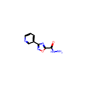 NNC(=O)c1nc(-c2cccnc2)no1